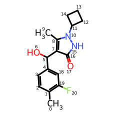 Cc1ccc(C(O)c2c(C)n(C3CCC3)[nH]c2=O)cc1F